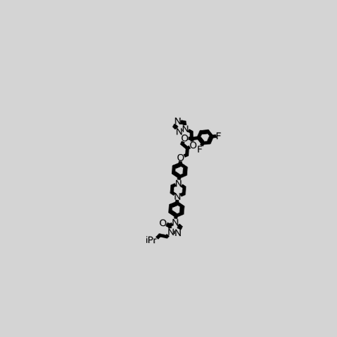 CC(C)CCn1ncn(-c2ccc(N3CCN(c4ccc(OCC5COC(Cn6cncn6)(c6ccc(F)cc6F)O5)cc4)CC3)cc2)c1=O